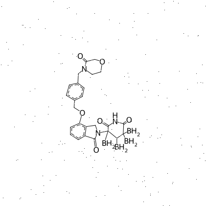 BC1C(B)(B)C(=O)NC(=O)C1(B)N1Cc2c(OCc3ccc(CN4CCOCC4=O)cc3)cccc2C1=O